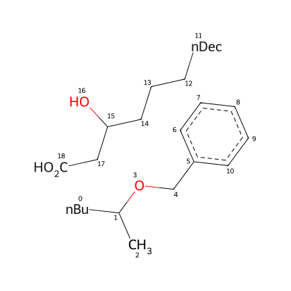 CCCCC(C)OCc1ccccc1.CCCCCCCCCCCCCC(O)CC(=O)O